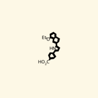 CCOc1cccc2ccc(-c3ccc(-c4ccc(C(=O)O)cc4)[nH]3)cc12